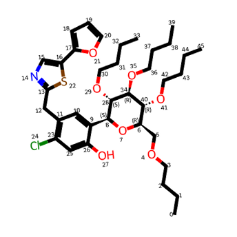 CCCCOC[C@H]1O[C@@H](c2cc(Cc3ncc(-c4ccco4)s3)c(Cl)cc2O)[C@H](OCCCC)[C@@H](OCCCC)[C@@H]1OCCCC